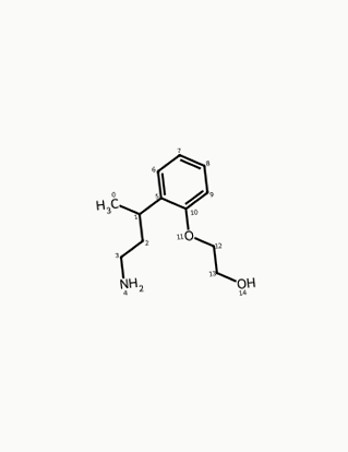 CC(CCN)c1ccccc1OCCO